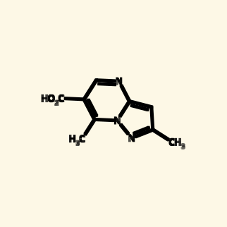 Cc1cc2ncc(C(=O)O)c(C)n2n1